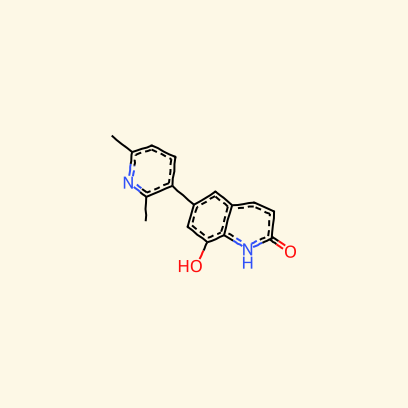 Cc1ccc(-c2cc(O)c3[nH]c(=O)ccc3c2)c(C)n1